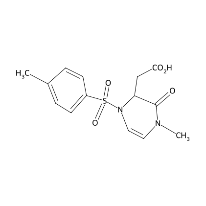 Cc1ccc(S(=O)(=O)N2C=CN(C)C(=O)C2CC(=O)O)cc1